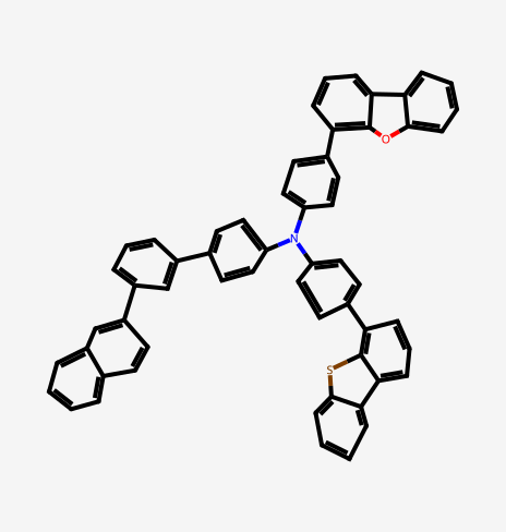 c1cc(-c2ccc(N(c3ccc(-c4cccc5c4oc4ccccc45)cc3)c3ccc(-c4cccc5c4sc4ccccc45)cc3)cc2)cc(-c2ccc3ccccc3c2)c1